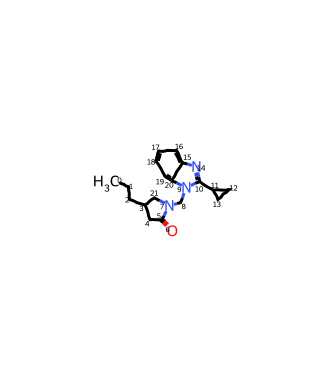 CCCC1CC(=O)N(Cn2c(C3CC3)nc3ccccc32)C1